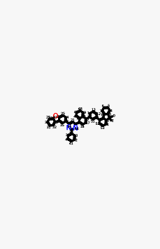 CC1(C)c2ccccc2-c2c(-c3cccc(-c4ccc(-c5cc(-c6ccc7oc8ccccc8c7c6)nc(-c6ccccc6)n5)c5ccccc45)c3)cccc21